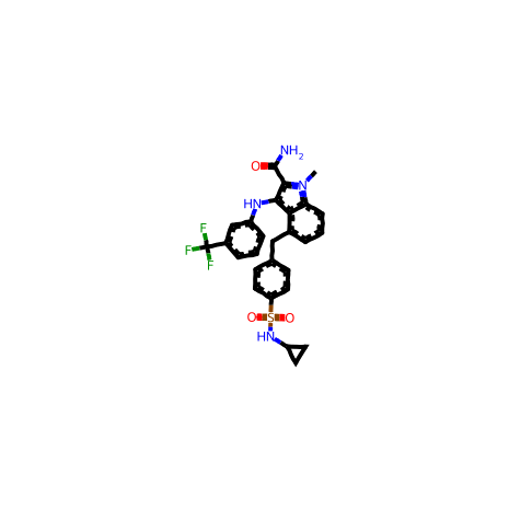 Cn1c(C(N)=O)c(Nc2cccc(C(F)(F)F)c2)c2c(Cc3ccc(S(=O)(=O)NC4CC4)cc3)cccc21